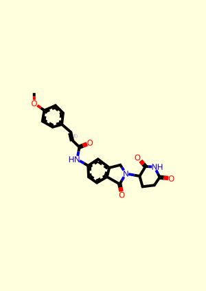 COc1ccc(/C=C/C(=O)Nc2ccc3c(c2)CN(C2CCC(=O)NC2=O)C3=O)cc1